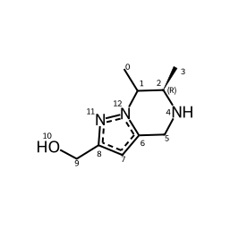 CC1[C@@H](C)NCc2cc(CO)nn21